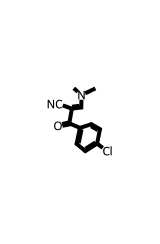 CN(C)C=C(C#N)C(=O)c1ccc(Cl)cc1